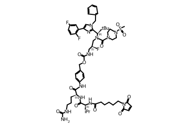 CC(C)[C@H](NC(=O)CCCCCN1C(=O)C=CC1=O)C(=O)N[C@@H](CCCNC(N)=O)C(=O)Nc1ccc(COC(=O)NC[C@H](F)CN(C(=O)N2CCN(S(C)(=O)=O)CC2)[C@@H](c2nc(-c3cc(F)ccc3F)cn2Cc2ccccc2)C(C)(C)C)cc1